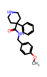 COc1ccc(CNC(=O)C2(c3ccccc3)CCNCC2)cc1